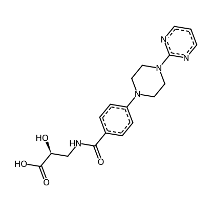 O=C(NC[C@H](O)C(=O)O)c1ccc(N2CCN(c3ncccn3)CC2)cc1